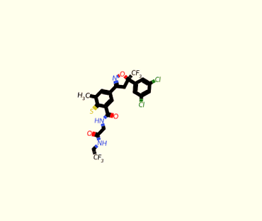 CC1C=C(C2=NOC(c3cc(Cl)cc(Cl)c3)(C(F)(F)F)C2)C=C(C(=O)NCC(=O)NCC(F)(F)F)C1=S